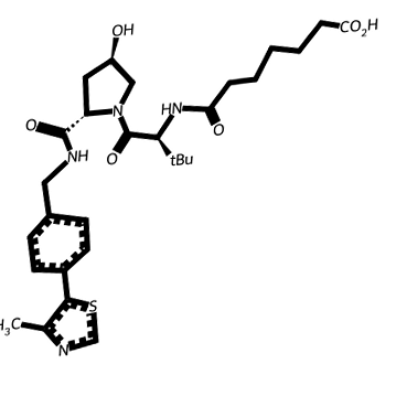 Cc1ncsc1-c1ccc(CNC(=O)[C@@H]2C[C@@H](O)CN2C(=O)[C@@H](NC(=O)CCCCCC(=O)O)C(C)(C)C)cc1